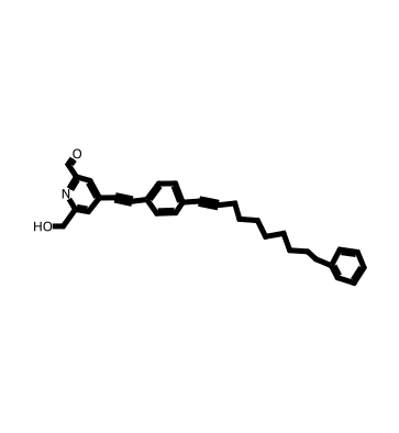 O=Cc1cc(C#Cc2ccc(C#CCCCCCCCCc3ccccc3)cc2)cc(CO)n1